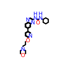 O=C(Nc1cnc2ccc(-c3ccc(OCCCN4CCOCC4)nc3)cc2n1)NC1CCCCC1